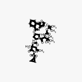 C=CC[C@@](C)(NC(=O)[C@@H]1C[C@@H](Oc2nc3ccoc3c3ccccc23)CN1C(=O)[C@@H](NC(=O)OC(C)(C)C)C(C)(C)C)C(=O)NS(=O)(=O)C1CC1